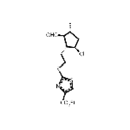 CCOC(=O)c1csc(SCC[C@@H]2[C@@H](C=O)[C@H](C)C[C@H]2Cl)n1